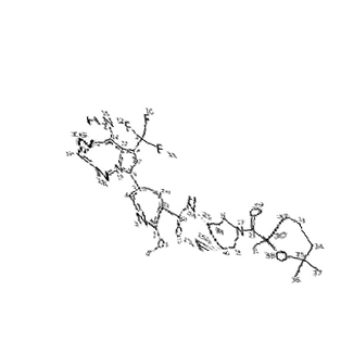 COc1ncc(-c2cc(C(F)(F)F)c3c(N)ncnn23)cc1C(=O)N[C@@H]1CN(C(=O)C2(C)CCCC(C)(C)O2)C[C@@H]1F